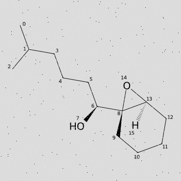 CC(C)CCC[C@H](O)[C@@]12CCCC[C@@H]1O2